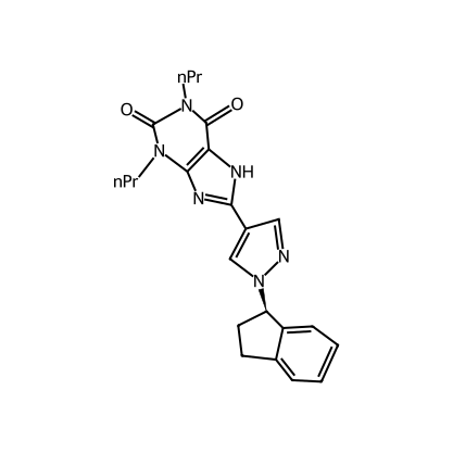 CCCn1c(=O)c2[nH]c(-c3cnn([C@@H]4CCc5ccccc54)c3)nc2n(CCC)c1=O